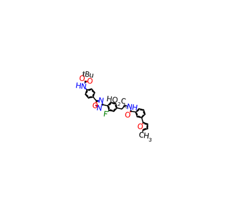 Cc1ccc(-c2cccc(C(=O)N[C@H](Cc3ccc(-c4noc(-c5ccc(NC(=O)OC(C)(C)C)cc5)n4)c(F)c3)C(=O)O)c2)o1